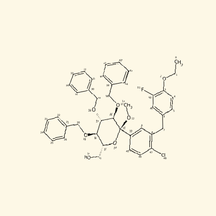 CCOc1ccc(Cc2cc([C@]3(OC)O[C@H](CO)[C@@H](OCc4ccccc4)[C@H](OCc4ccccc4)[C@H]3OCc3ccccc3)ccc2Cl)cc1F